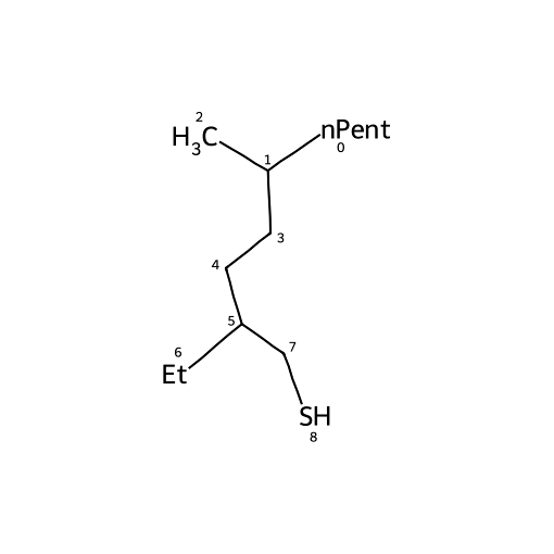 CCCCCC(C)CCC(CC)CS